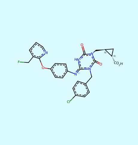 O=C(O)[C@H]1C[C@@H]1Cn1c(=O)[nH]/c(=N\c2ccc(Oc3ncccc3CF)cc2)n(Cc2ccc(Cl)cc2)c1=O